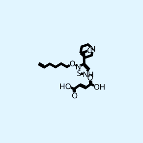 C=CCCCCON1SNC=C1C1CN2CCC1CC2.O=C(O)/C=C/C(=O)O